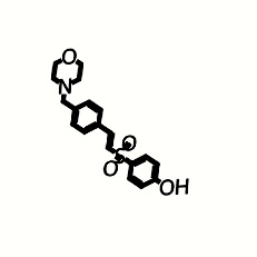 O=S(=O)(/C=C/c1ccc(CN2CCOCC2)cc1)c1ccc(O)cc1